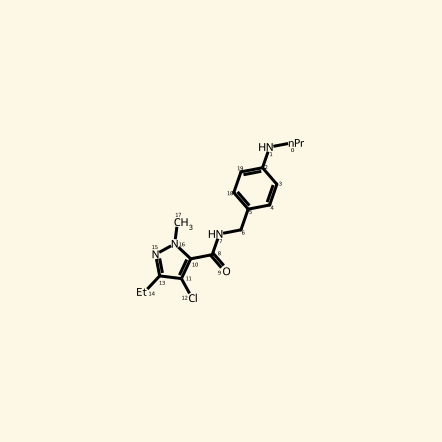 CCCNc1ccc(CNC(=O)c2c(Cl)c(CC)nn2C)cc1